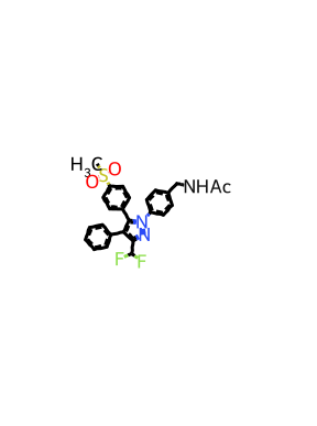 CC(=O)NCc1ccc(-n2nc(C(F)F)c(-c3ccccc3)c2-c2ccc(S(C)(=O)=O)cc2)cc1